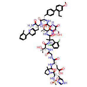 CCc1cc(OC)ccc1-c1ccc(C[C@H](NC(=O)[C@H](CC(=O)O)NC(=O)[C@H](CO)NC(=O)[C@@H](NC(=O)C(C)(Cc2c(F)cccc2F)NC(=O)[C@@H](NC(=O)CNC(=O)[C@H](CCC(=O)O)NC(=O)C2(C)CCCN2C(=O)[C@H](Cc2c[nH]cn2)NS(C)(=O)=O)[C@@H](C)O)[C@@H](C)O)C(=O)N[C@@H](Cc2ccc(-c3ccccc3C)nc2)C(N)=O)cc1